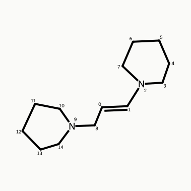 C(=CN1CCCCC1)CN1CCCCC1